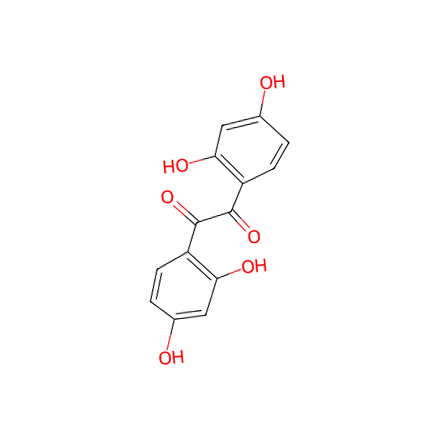 O=C(C(=O)c1ccc(O)cc1O)c1ccc(O)cc1O